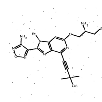 CCn1c(-c2nonc2N)nc2c(C#CC(C)(C)O)nc(OC[C@@H](N)CC(C)C)cc21